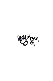 CO/N=C1/CCC2C=CC=CC2[C@@H](CO[C@H](C)c2cc(C(F)(F)F)cc(C(F)(F)F)c2)NC1